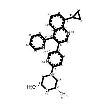 C[C@@H]1CN(c2ccc(-c3cnc4c(C5CC5)cccc4c3-c3ccccn3)cn2)C[C@H](C)O1